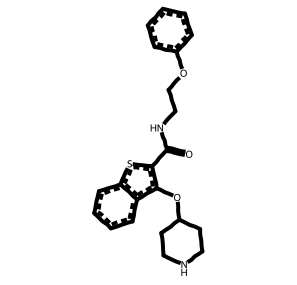 O=C(NCCOc1ccccc1)c1sc2ccccc2c1OC1CCNCC1